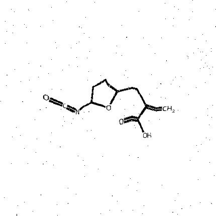 C=C(CC1CCC(N=C=O)O1)C(=O)O